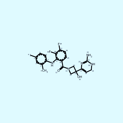 Cc1cc(I)ccc1Nc1c(C(=O)N2CC(O)(C3=CCNC(N)=N3)C2)ccc(F)c1F